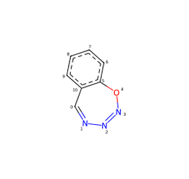 C1=NN=NOc2ccccc21